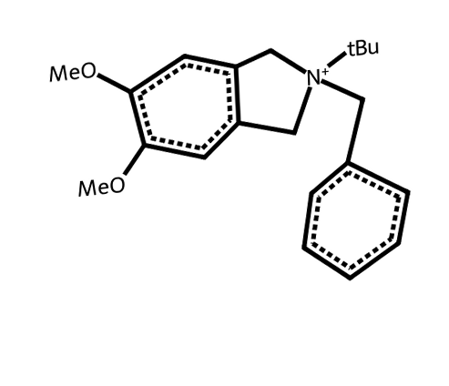 COc1cc2c(cc1OC)C[N+](Cc1ccccc1)(C(C)(C)C)C2